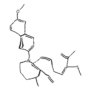 C=CC1=C(/C=C\C/C=C(/SC)C(=C)C)N(c2ccc3cc(OC)ccc3c2)CCCC1C